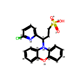 O=S(=O)(O)CCC(c1cccc(Cl)n1)N1c2ccccc2Oc2ccccc21